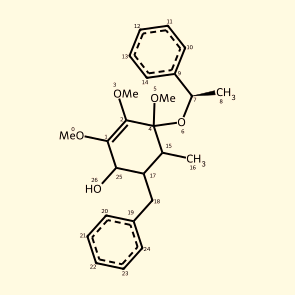 COC1=C(OC)C(OC)(O[C@H](C)c2ccccc2)C(C)C(Cc2ccccc2)C1O